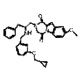 COc1ccc2c(c1)cc1n2C(=O)CN(C[C@H](Cc2ccccc2)NCc2cccc(OCC3CC3)c2)C1=O